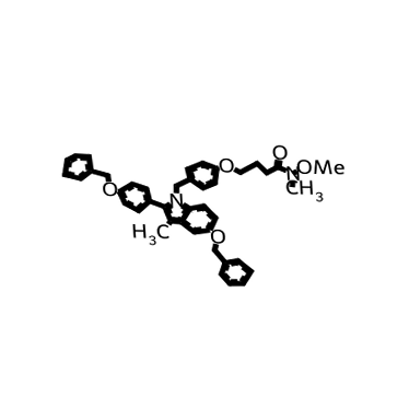 CON(C)C(=O)CCCOc1ccc(Cn2c(-c3ccc(OCc4ccccc4)cc3)c(C)c3cc(OCc4ccccc4)ccc32)cc1